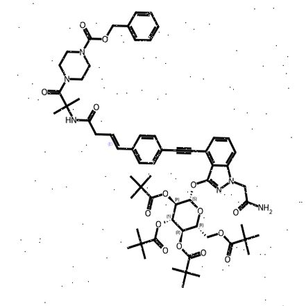 CC(C)(C)C(=O)OC[C@H]1O[C@@H](Oc2nn(CC(N)=O)c3cccc(C#Cc4ccc(/C=C/CC(=O)NC(C)(C)C(=O)N5CCN(C(=O)OCc6ccccc6)CC5)cc4)c23)[C@H](OC(=O)C(C)(C)C)[C@@H](OC(=O)C(C)(C)C)[C@@H]1OC(=O)C(C)(C)C